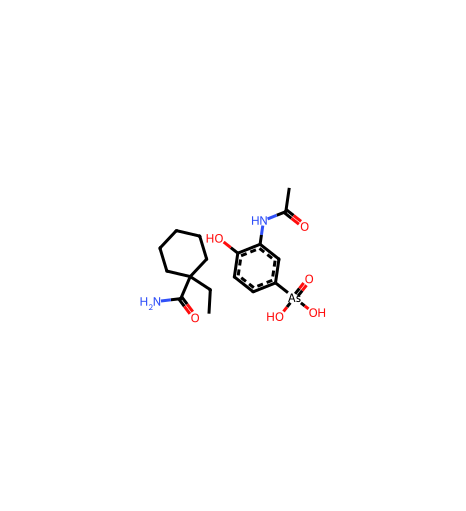 CC(=O)Nc1cc([As](=O)(O)O)ccc1O.CCC1(C(N)=O)CCCCC1